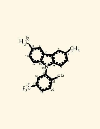 Cc1ccc2c(c1)c1cc(C)ccc1n2-c1cc(C(F)(F)F)ccc1F